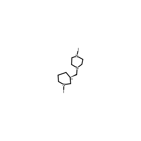 IN1CCN(C[C@@H]2CCCN(I)C2)CC1